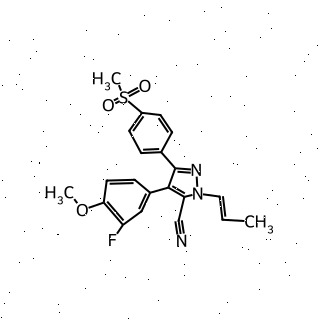 CC=Cn1nc(-c2ccc(S(C)(=O)=O)cc2)c(-c2ccc(OC)c(F)c2)c1C#N